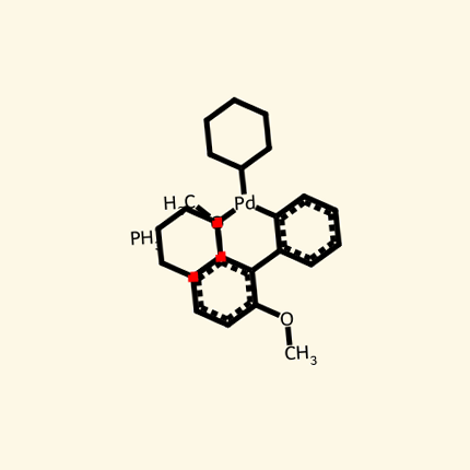 COc1cccc(OC)c1-c1cccc[c]1[Pd]([CH]1CCCCC1)[CH]1CCCCC1.P